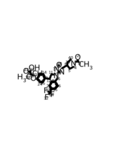 CC(=O)N1CCC(c2nc(N(CCc3ccc(OC(C)(C)C(=O)O)cc3)Cc3ccc(C(F)(F)F)cc3)no2)CC1